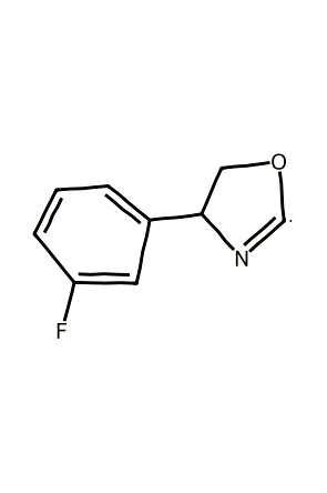 Fc1cccc(C2CO[C]=N2)c1